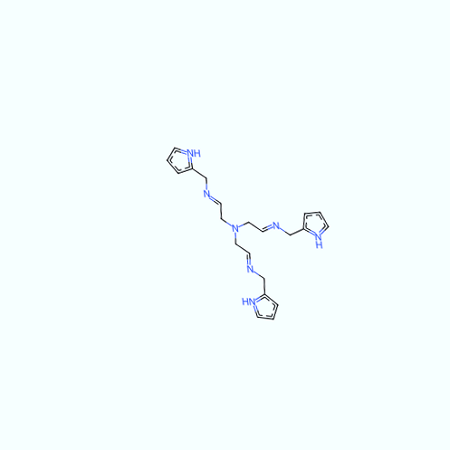 C(CN(CC=NCc1ccc[nH]1)CC=NCc1ccc[nH]1)=NCc1ccc[nH]1